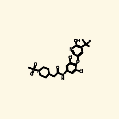 CC(C)(F)c1cc(Oc2c(Cl)cc(NC(=O)CC3CCN(S(C)(=O)=O)CC3)cc2Cl)cnc1O